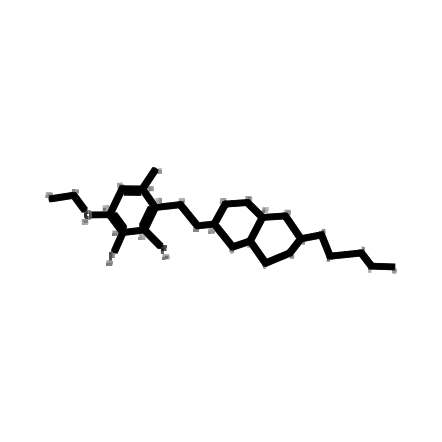 CCCCCC1CCC2CC(CCc3c(C)cc(OCC)c(F)c3F)CCC2C1